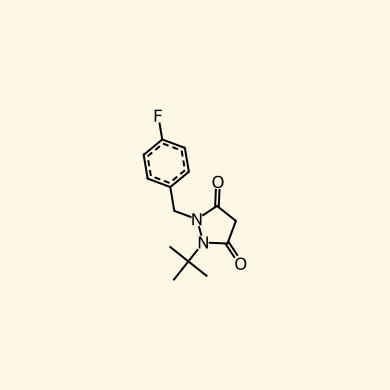 CC(C)(C)N1C(=O)CC(=O)N1Cc1ccc(F)cc1